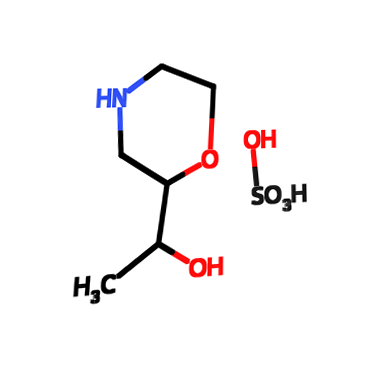 CC(O)C1CNCCO1.O=S(=O)(O)O